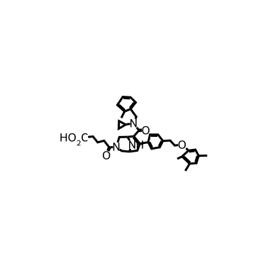 Cc1cc(C)c(C)c(OCCc2ccc(C3=C(C(=O)N(Cc4ccccc4C)C4CC4)C4CN(C(=O)CCCC(=O)O)CC(C3)N4)cc2)c1